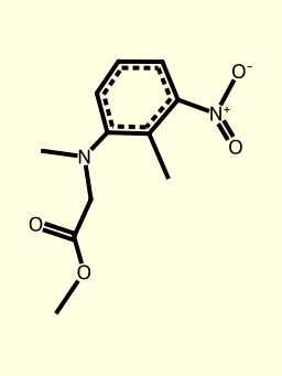 COC(=O)CN(C)c1cccc([N+](=O)[O-])c1C